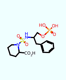 O=C(O)C1CCCCN1S(=O)(=O)NC(COP(=O)(O)O)Cc1ccccc1